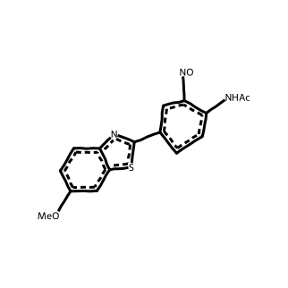 COc1ccc2nc(-c3ccc(NC(C)=O)c(N=O)c3)sc2c1